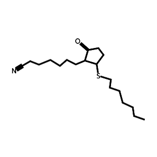 CCCCCCCSC1CCC(=O)C1CCCCCCC#N